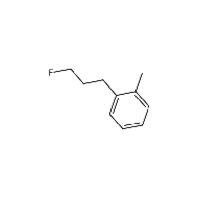 Cc1ccccc1CCCF